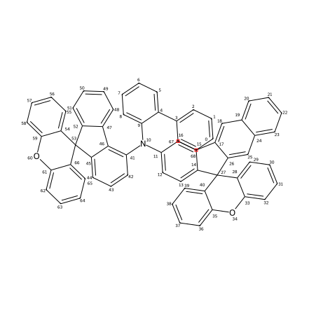 c1ccc(-c2ccccc2N(c2ccc3c(c2)-c2cc4ccccc4cc2C32c3ccccc3Oc3ccccc32)c2cccc3c2-c2ccccc2C32c3ccccc3Oc3ccccc32)cc1